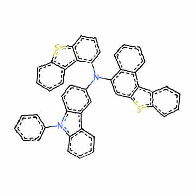 c1ccc(-n2c3ccccc3c3cc(N(c4cc5sc6ccccc6c5c5ccccc45)c4cccc5sc6ccccc6c45)ccc32)cc1